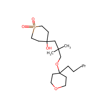 CC(C)CCC1(OCC(C)(C)CC2(O)CCS(=O)(=O)CC2)CCOCC1